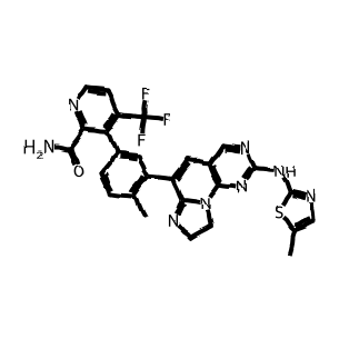 Cc1cnc(Nc2ncc3c(n2)N2CCN=C2C(c2cc(-c4c(C(F)(F)F)ccnc4C(N)=O)ccc2C)=C3)s1